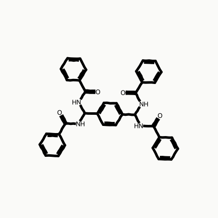 O=C(NC(NC(=O)c1ccccc1)c1ccc(C(NC(=O)c2ccccc2)NC(=O)c2ccccc2)cc1)c1ccccc1